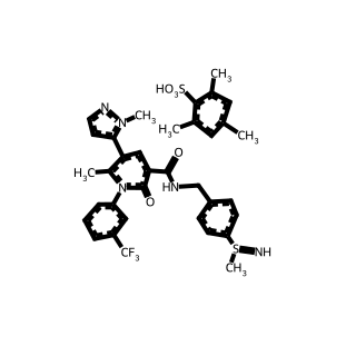 Cc1c(-c2ccnn2C)cc(C(=O)NCc2ccc(S(C)=N)cc2)c(=O)n1-c1cccc(C(F)(F)F)c1.Cc1cc(C)c(S(=O)(=O)O)c(C)c1